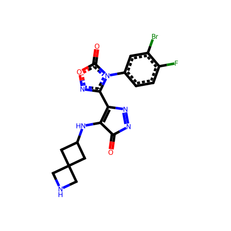 O=C1N=NC(c2noc(=O)n2-c2ccc(F)c(Br)c2)=C1NC1CC2(CNC2)C1